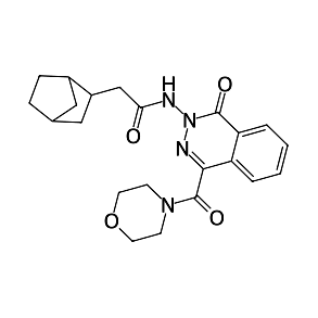 O=C(CC1CC2CCC1C2)Nn1nc(C(=O)N2CCOCC2)c2ccccc2c1=O